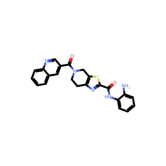 Nc1ccccc1NC(=O)c1nc2c(s1)CN(C(=O)c1cnc3ccccc3c1)CC2